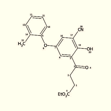 CCOC(=O)CCC(=O)c1cc(Oc2ccccc2C)cc(C#N)c1O